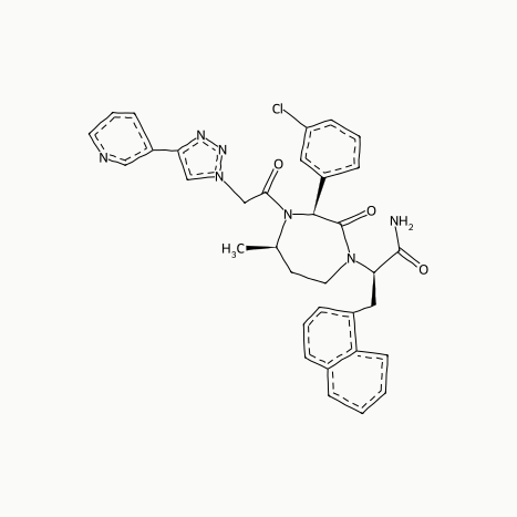 C[C@@H]1CCN([C@H](Cc2cccc3ccccc23)C(N)=O)C(=O)[C@H](c2cccc(Cl)c2)N1C(=O)Cn1cc(-c2cccnc2)nn1